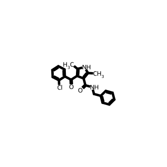 Cc1[nH]c(C)c(C(=O)c2ccccc2Cl)c1C(=O)NCc1ccccc1